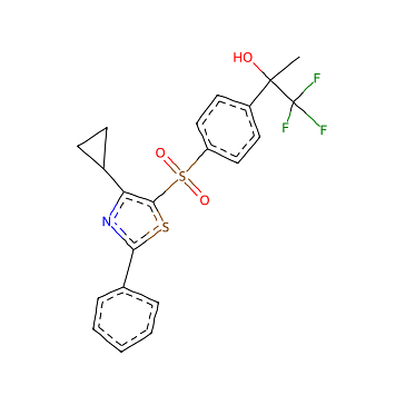 CC(O)(c1ccc(S(=O)(=O)c2sc(-c3ccccc3)nc2C2CC2)cc1)C(F)(F)F